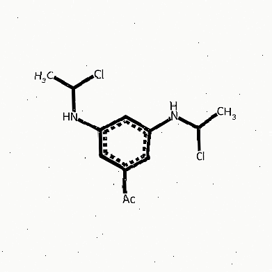 CC(=O)c1cc(NC(C)Cl)cc(NC(C)Cl)c1